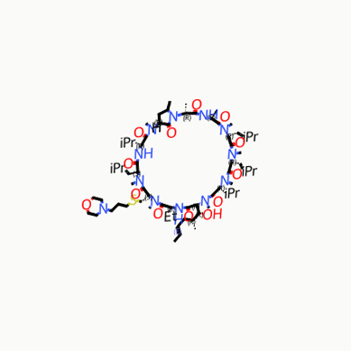 C/C=C/C[C@@H](C)[C@@H](O)[C@@H]1C(=O)N[C@H](CC)C(=O)N(C)[C@H](CSCCCN2CCOCC2)C(=O)N(C)[C@@H](CC(C)C)C(=O)N[C@H](C(C)C)C(=O)N(C)[C@@H]2CC(C)N(C2=O)[C@H](C)C(=O)N[C@@H](C)C(=O)N(C)[C@H](CC(C)C)C(=O)N(C)[C@H](CC(C)C)C(=O)N(C)[C@H](C(C)C)C(=O)N1C